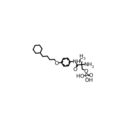 CC(N)(COP(=O)(O)O)C(=O)Nc1ccc(OCCCCC2CCCCC2)cc1